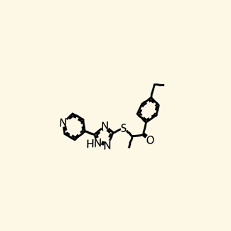 CCc1ccc(C(=O)C(C)Sc2n[nH]c(-c3ccncc3)n2)cc1